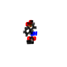 CC(C)(C)OC(=O)Nc1cccc2c1C=CS2(=O)=O